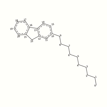 CCCCCCCCCCc1[c]c2c(cc1)-c1ccccc1C2